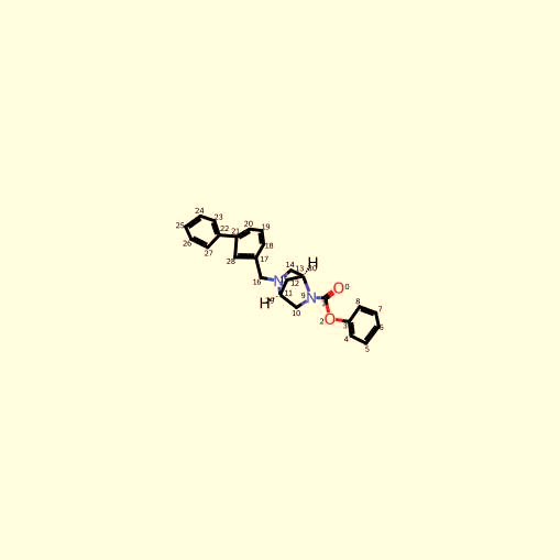 O=C(Oc1ccccc1)N1C[C@@H]2C[C@H]1CN2Cc1cccc(-c2ccccc2)c1